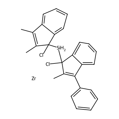 CC1=C(C)C(Cl)([SiH2]C2(Cl)C(C)=C(c3ccccc3)c3ccccc32)c2ccccc21.[Zr]